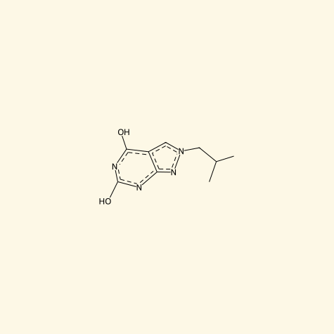 CC(C)Cn1cc2c(O)nc(O)nc2n1